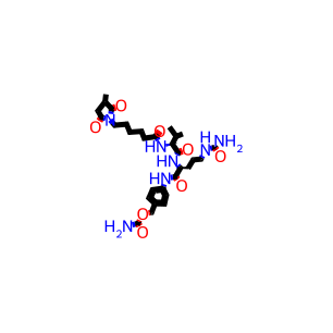 CC1CC(=O)N(CCCCCC(=O)N[C@H](C(=O)N[C@@H](CCCNC(N)=O)C(=O)Nc2ccc(COC(N)=O)cc2)C(C)C)C1=O